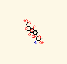 C[C@@H]1O[C@@H](CC(=O)O)CC23OC12C(=O)c1c(ccc([C@H]2C[C@@H](N(C)C)[C@H](O)[C@@H](C)O2)c1O)C3=O